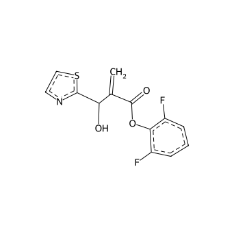 C=C(C(=O)Oc1c(F)cccc1F)C(O)c1nccs1